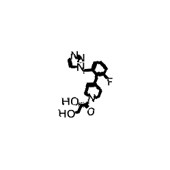 O=C([C@@H](O)CO)N1CC=C(c2c(F)cccc2[CH]n2ccnn2)CC1